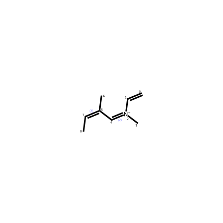 C=C/[N+](C)=C\C(C)=C/C